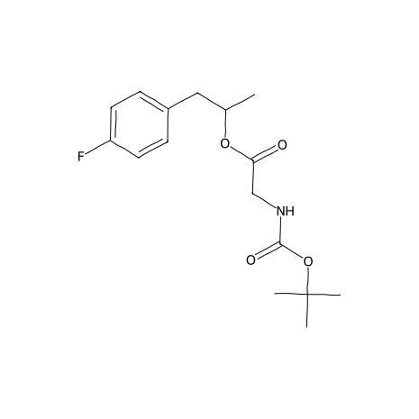 CC(Cc1ccc(F)cc1)OC(=O)CNC(=O)OC(C)(C)C